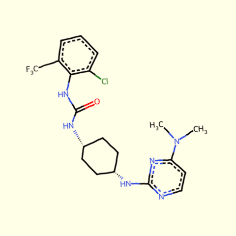 CN(C)c1ccnc(N[C@H]2CC[C@@H](NC(=O)Nc3c(Cl)cccc3C(F)(F)F)CC2)n1